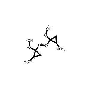 CC1CC1(OO)OOC1(OO)CC1C